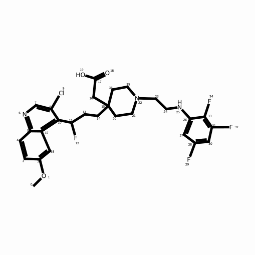 COc1ccc2ncc(Cl)c(C(F)CCC3(CC(=O)O)CCN(CCNc4cc(F)cc(F)c4F)CC3)c2c1